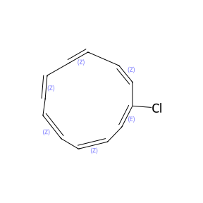 ClC1=C/C=C\C=C/C=C\C=C/C=C\1